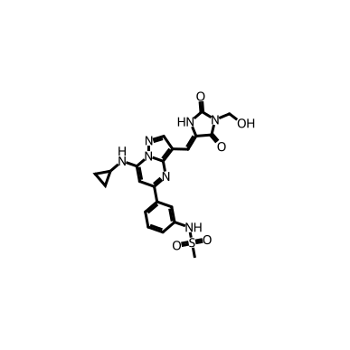 CS(=O)(=O)Nc1cccc(-c2cc(NC3CC3)n3ncc(/C=C4\NC(=O)N(CO)C4=O)c3n2)c1